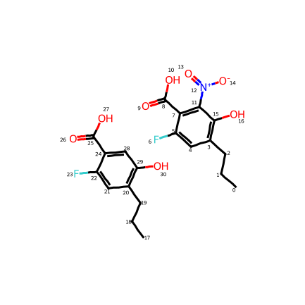 CCCc1cc(F)c(C(=O)O)c([N+](=O)[O-])c1O.CCCc1cc(F)c(C(=O)O)cc1O